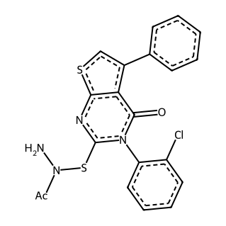 CC(=O)N(N)Sc1nc2scc(-c3ccccc3)c2c(=O)n1-c1ccccc1Cl